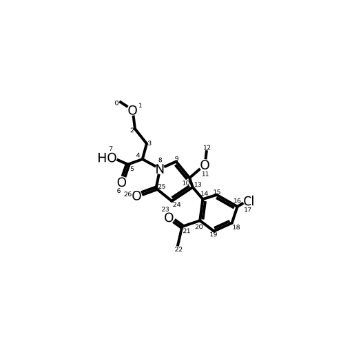 COCCC(C(=O)O)n1cc(OC)c(-c2cc(Cl)ccc2C(C)=O)cc1=O